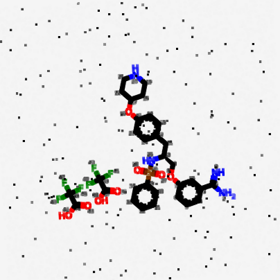 N=C(N)c1cccc(OC[C@H](Cc2ccc(OC3CCNCC3)cc2)NS(=O)(=O)c2ccccc2)c1.O=C(O)C(F)(F)F.O=C(O)C(F)(F)F